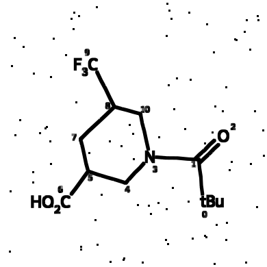 CC(C)(C)C(=O)N1CC(C(=O)O)CC(C(F)(F)F)C1